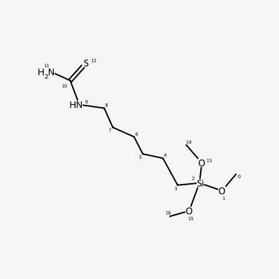 CO[Si](CCCCCCNC(N)=S)(OC)OC